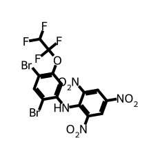 O=[N+]([O-])c1cc([N+](=O)[O-])c(Nc2cc(OC(F)(F)C(F)F)c(Br)cc2Br)c([N+](=O)[O-])c1